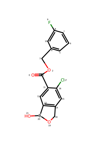 O=C(OCc1cccc(F)c1)c1cc2c(cc1Cl)COB2O